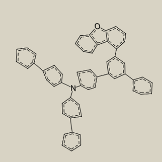 c1ccc(-c2ccc(N(c3ccc(-c4ccccc4)cc3)c3ccc(-c4cc(-c5ccccc5)cc(-c5cccc6oc7ccccc7c56)c4)cc3)cc2)cc1